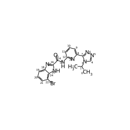 CC(C)n1cnnc1-c1cccc(NC(=O)c2nc3cccc(Br)c3[nH]2)n1